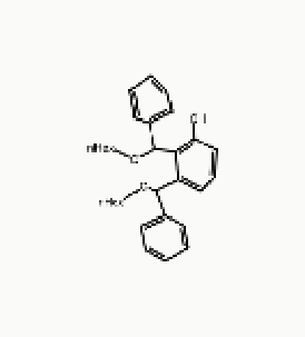 CCCCCCOC(c1ccccc1)c1cccc(O)c1C(OCCCCCC)c1ccccc1